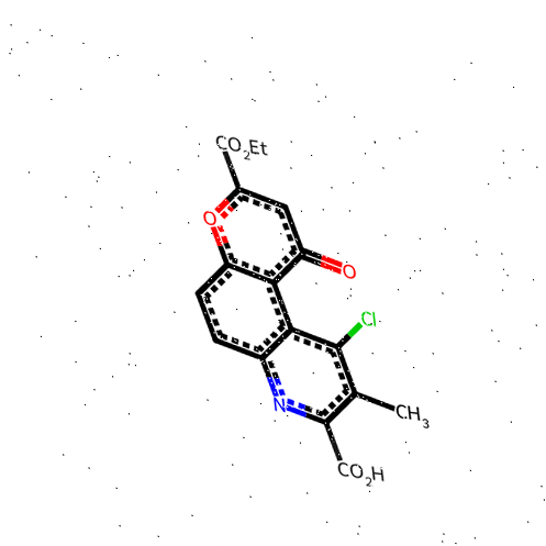 CCOC(=O)c1cc(=O)c2c(ccc3nc(C(=O)O)c(C)c(Cl)c32)o1